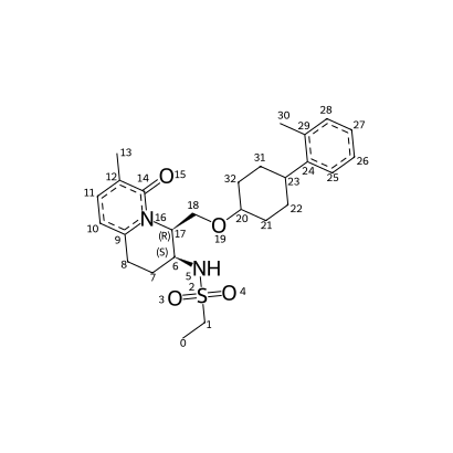 CCS(=O)(=O)N[C@H]1CCc2ccc(C)c(=O)n2[C@H]1COC1CCC(c2ccccc2C)CC1